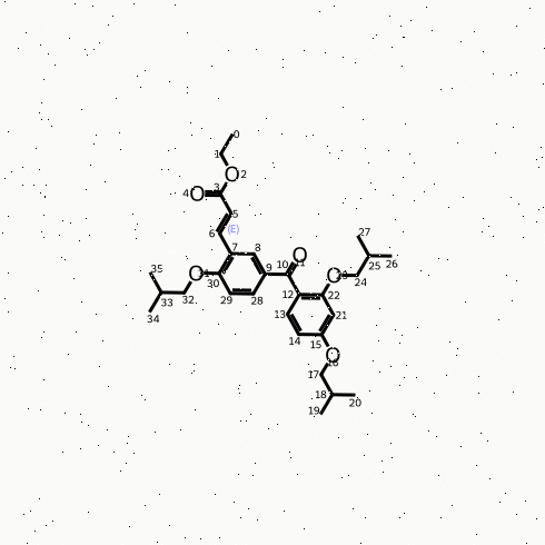 CCOC(=O)/C=C/c1cc(C(=O)c2ccc(OCC(C)C)cc2OCC(C)C)ccc1OCC(C)C